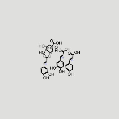 O=C(/C=C/c1ccc(O)c(O)c1)O[C@@H]1C[C@](O)(C(=O)O)C[C@@H](O)[C@H]1O.O=C(O)/C=C/c1ccc(O)c(O)c1.O=C(O)/C=C/c1ccc(O)cc1